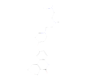 CCN(CCN(C)CCN1CCC(Oc2ccc3[nH]c(=O)c4c(c3c2)CCSC4)CC1)C(C)=O